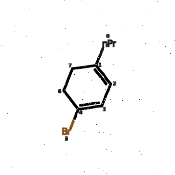 CCCC1=CC=C(Br)CC1